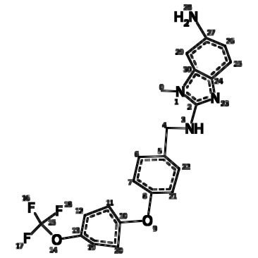 Cn1c(NCc2ccc(Oc3ccc(OC(F)(F)F)cc3)cc2)nc2ccc(N)cc21